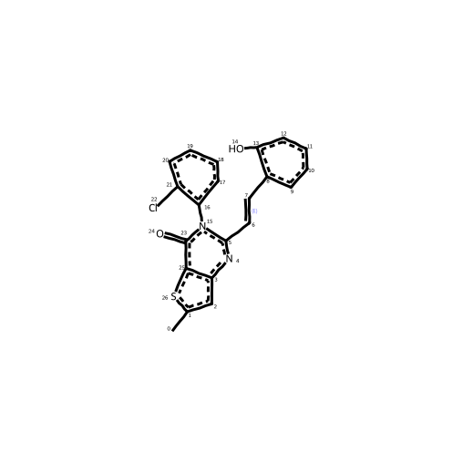 Cc1cc2nc(/C=C/c3ccccc3O)n(-c3ccccc3Cl)c(=O)c2s1